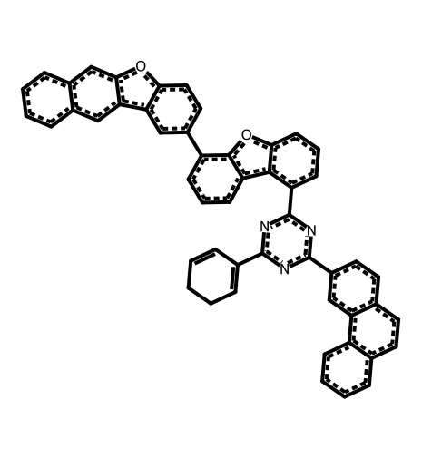 C1=CC(c2nc(-c3ccc4ccc5ccccc5c4c3)nc(-c3cccc4oc5c(-c6ccc7oc8cc9ccccc9cc8c7c6)cccc5c34)n2)=CCC1